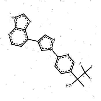 CC(O)(c1ccc(-n2cc(-c3ccnc4[nH]cnc34)cn2)nc1)C(F)(F)F